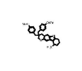 COc1ccc(CC2(Cc3ccc(OC)cc3)COc3cc4c5c([nH]c4cc3C2)CCCC5C)cc1